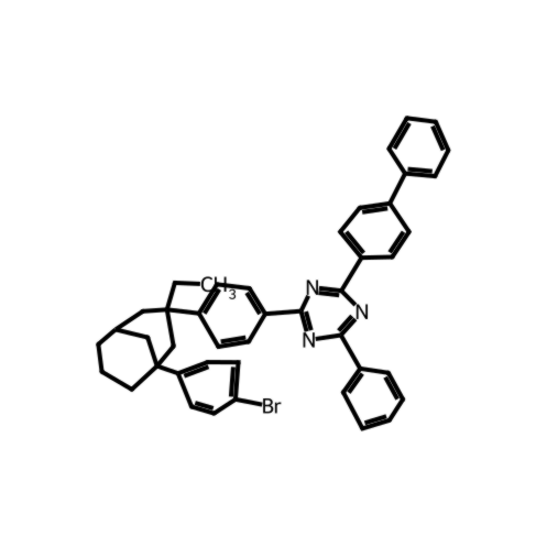 CCC1(c2ccc(-c3nc(-c4ccccc4)nc(-c4ccc(-c5ccccc5)cc4)n3)cc2)CC2CCCC(c3ccc(Br)cc3)(C2)C1